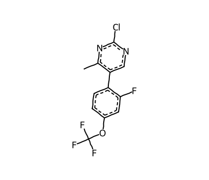 Cc1nc(Cl)ncc1-c1ccc(OC(F)(F)F)cc1F